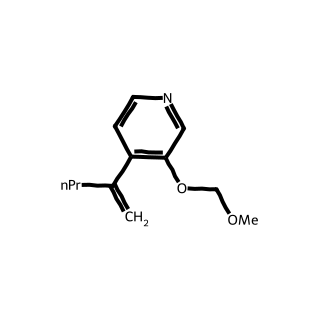 C=C(CCC)c1ccncc1OCOC